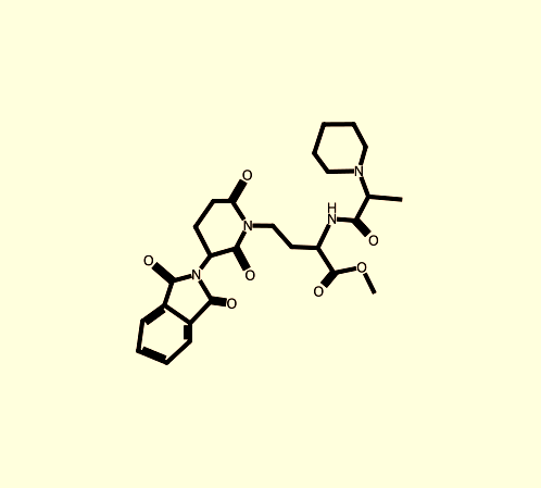 COC(=O)C(CCN1C(=O)CCC(N2C(=O)c3ccccc3C2=O)C1=O)NC(=O)C(C)N1CCCCC1